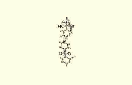 O=S(=O)(c1ccccc1F)N1CCN(c2ccc(C(O)(C(F)(F)F)C(F)(F)F)cc2)CC1